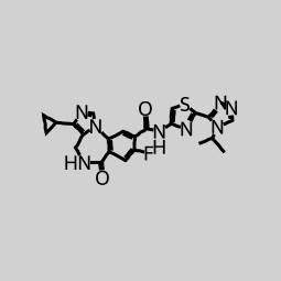 CC(C)n1cnnc1-c1nc(NC(=O)c2cc3c(cc2F)C(=O)NCc2c(C4CC4)ncn2-3)cs1